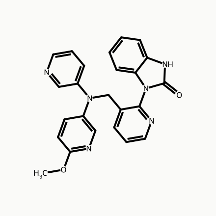 COc1ccc(N(Cc2cccnc2-n2c(=O)[nH]c3ccccc32)c2cccnc2)cn1